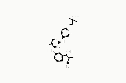 CC(C#N)C(O)c1cccc(Nc2nc(Nc3ccc(OCC(C)(C)O)nc3)ncc2F)c1